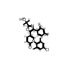 Cc1cc(Cl)cc(C)c1-n1cc(-c2oc(C(C)(C)O)nc2-c2ccc(F)cc2F)ccc1=O